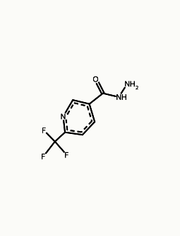 NNC(=O)c1ccc(C(F)(F)F)nc1